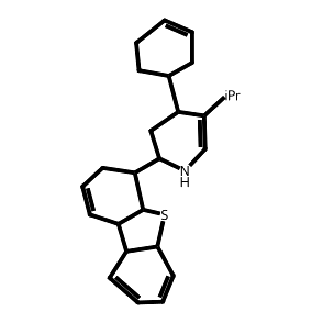 CC(C)C1=CNC(C2CC=CC3C4C=CC=CC4SC32)CC1C1CC=CCC1